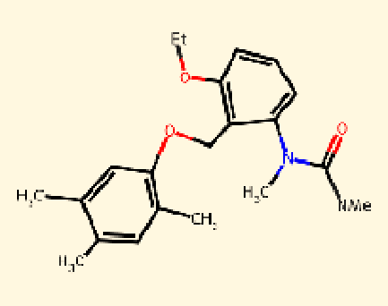 CCOc1cccc(N(C)C(=O)NC)c1COc1cc(C)c(C)cc1C